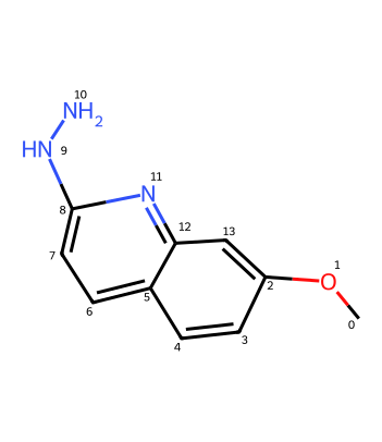 COc1ccc2ccc(NN)nc2c1